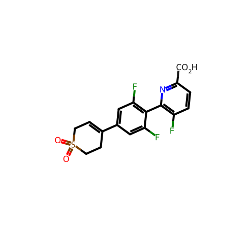 O=C(O)c1ccc(F)c(-c2c(F)cc(C3=CCS(=O)(=O)CC3)cc2F)n1